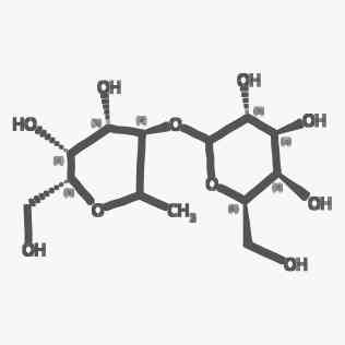 CC1O[C@H](CO)[C@H](O)[C@H](O)[C@H]1OC1O[C@H](CO)[C@H](O)[C@H](O)[C@H]1O